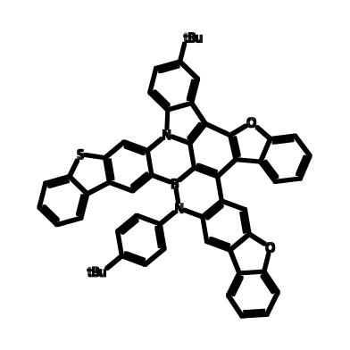 CC(C)(C)c1ccc(N2B3c4cc5c(cc4-n4c6ccc(C(C)(C)C)cc6c6c7oc8ccccc8c7c(c3c64)-c3cc4oc6ccccc6c4cc32)sc2ccccc25)cc1